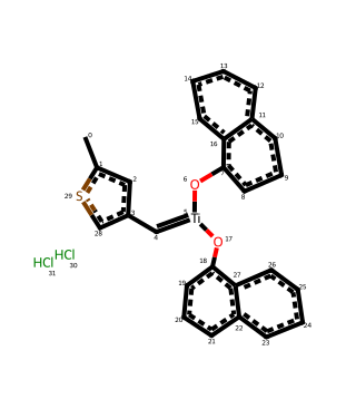 Cc1cc([CH]=[Ti]([O]c2cccc3ccccc23)[O]c2cccc3ccccc23)cs1.Cl.Cl